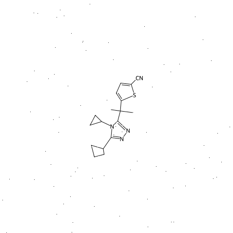 CC(C)(c1ccc(C#N)s1)c1nnc(C2CCC2)n1C1CC1